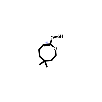 CC1(C)CC/C=C(/OS)OCC1